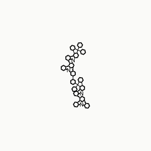 c1ccc(C2(c3ccccc3)c3ccccc3-c3c2ccc2c3c3cccc4c5c6c7ccccc7n7c8cc(-c9cccc(C%10(c%11ccccc%11)c%11ccccc%11-c%11ccc%12c(c%11%10)c%10cccc%11c%13c%14c%15ccccc%15n%15c%16ccccc%16c(cc%13n%12c%10%11)c%14%15)c9)ccc8c(cc5n2c34)c67)cc1